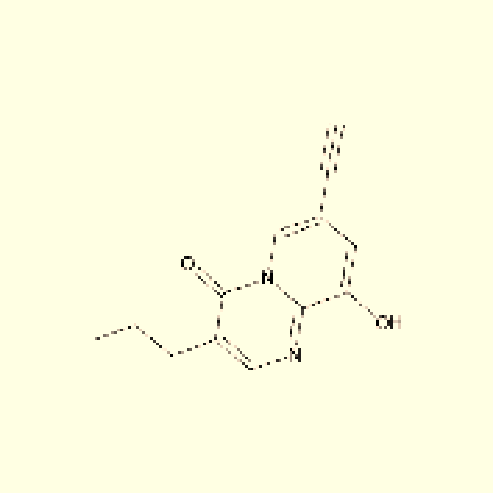 C#Cc1cc(O)c2ncc(CCC)c(=O)n2c1